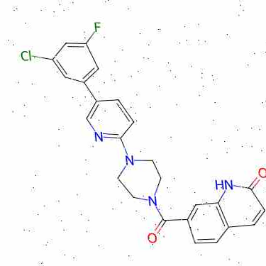 O=C(c1ccc2ccc(=O)[nH]c2c1)N1CCN(c2ccc(-c3cc(F)cc(Cl)c3)cn2)CC1